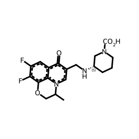 CC1COc2c(F)c(F)cc3c(=O)c(CN[C@H]4CCCN(C(=O)O)C4)cn1c23